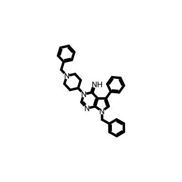 N=c1c2c(-c3ccccc3)cn(Cc3ccccc3)c2ncn1C1CCN(Cc2ccccc2)CC1